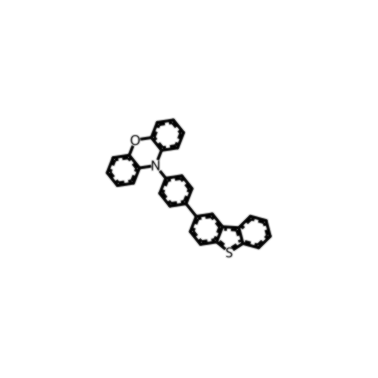 c1ccc2c(c1)Oc1ccccc1N2c1ccc(-c2ccc3sc4ccccc4c3c2)cc1